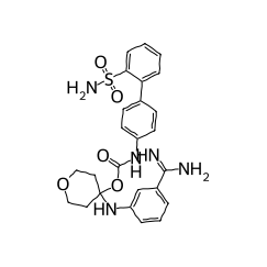 N=C(N)c1cccc(NC2(OC(=O)Nc3ccc(-c4ccccc4S(N)(=O)=O)cc3)CCOCC2)c1